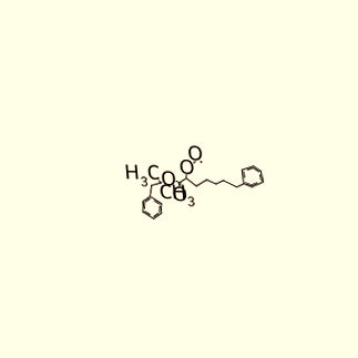 CC(C)(Cc1ccccc1)OC(=O)C(CCCCCc1ccccc1)O[C]=O